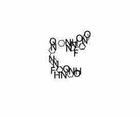 O=C1CCC(Nc2ccc(N3CCN(CC4CCN(C(=O)[C@H]5CC[C@H](Nc6ncc(F)c(-c7cccc(N8CCOCC8=O)c7)n6)CC5)CC4)CC3)c(F)c2)C(=O)N1